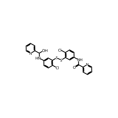 O=C(Nc1ccc(Cl)c(SSc2cc(NC(O)c3ccccn3)ccc2Cl)c1)c1ccccn1